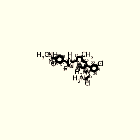 CNc1noc2cc(-c3[nH]c(C4C[C@@H](C)/C(=C/C(=C\C=O)c5cc(Cl)ccc5N(N)/C=C(\N)Cl)N4C)nc3F)ccc12